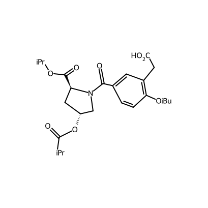 CC(C)COc1ccc(C(=O)N2C[C@H](OC(=O)C(C)C)C[C@H]2C(=O)OC(C)C)cc1CC(=O)O